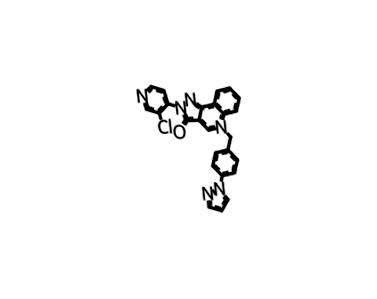 O=c1c2cn(Cc3ccc(-n4cccn4)cc3)c3ccccc3c-2nn1-c1ccncc1Cl